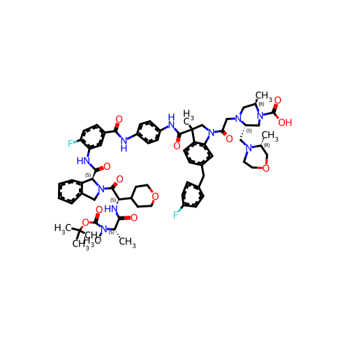 C[C@@H]1COCCN1C[C@H]1CN(C(=O)O)[C@H](C)CN1CC(=O)N1CC(C)(C(=O)Nc2ccc(NC(=O)c3ccc(F)c(NC(=O)[C@@H]4c5ccccc5CN4C(=O)[C@@H](NC(=O)[C@H](C)N(C)C(=O)OC(C)(C)C)C4CCOCC4)c3)cc2)c2ccc(Cc3ccc(F)cc3)cc21